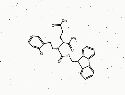 NC(=O)[C@H](CCC(=O)O)N(CCc1ccccc1Cl)C(=O)OCC1c2ccccc2-c2ccccc21